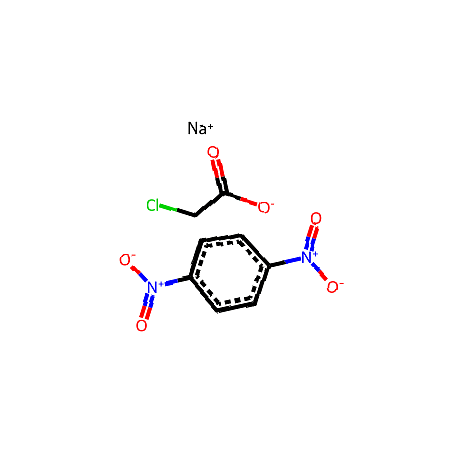 O=C([O-])CCl.O=[N+]([O-])c1ccc([N+](=O)[O-])cc1.[Na+]